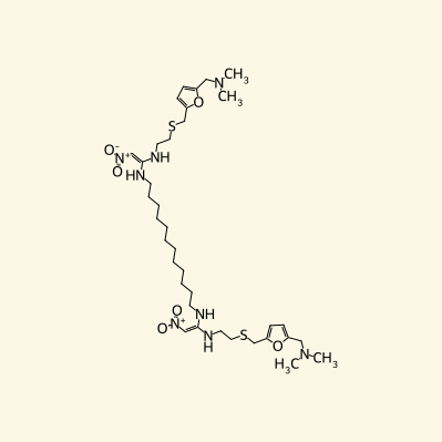 CN(C)Cc1ccc(CSCCN/C(=C/[N+](=O)[O-])NCCCCCCCCCCCCN/C(=C\[N+](=O)[O-])NCCSCc2ccc(CN(C)C)o2)o1